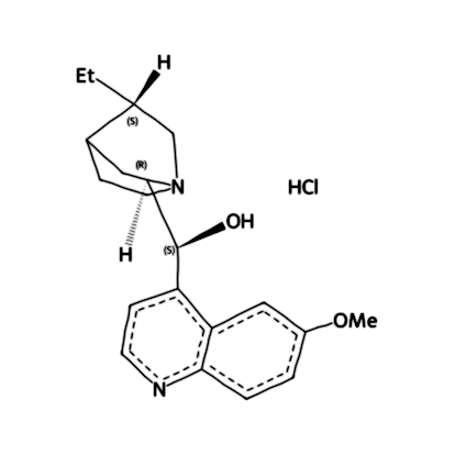 CC[C@@H]1CN2CCC1C[C@@H]2[C@@H](O)c1ccnc2ccc(OC)cc12.Cl